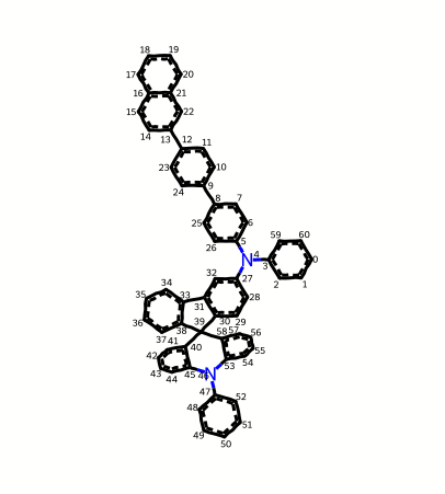 c1ccc(N(c2ccc(-c3ccc(-c4ccc5ccccc5c4)cc3)cc2)c2ccc3c(c2)-c2ccccc2C32c3ccccc3N(c3ccccc3)c3ccccc32)cc1